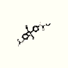 CCOC(=O)Nc1ccc(-c2c(C#N)c3ccc(OC(F)F)cc3n2CC)cc1